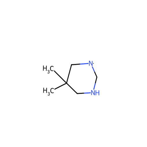 CC1(C)C[N]CNC1